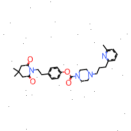 Cc1cccc(CCCN2CCN(C(=O)Oc3ccc(CCN4C(=O)CC(C)(C)CC4=O)cc3)CC2)n1